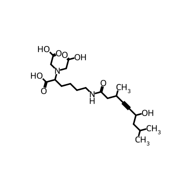 CC(C)CC(O)C#CC(C)CC(=O)NCCCCC(C(=O)O)N(CC(=O)O)CC(=O)O